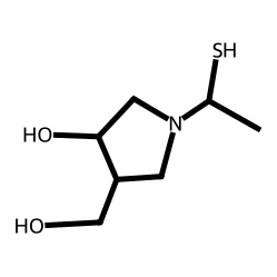 CC(S)N1CC(O)C(CO)C1